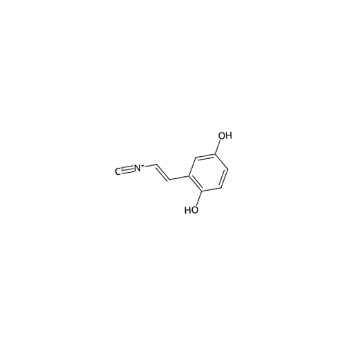 [C-]#[N+]C=Cc1cc(O)ccc1O